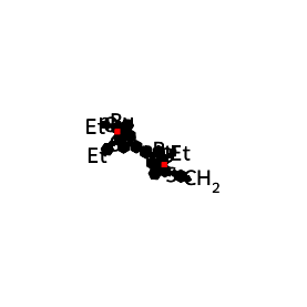 C=Cc1ccc(CSc2ccc(C3(c4ccc(OCC(CC)CCCC)cc4)c4ccccc4-c4ccc(N(c5ccccc5)c5ccc(-c6ccc(N(c7ccccc7)c7ccc8c(c7)C(c7ccc(OCC(CC)CCCC)cc7)(c7ccc(SCc9ccc(CC)cc9)cc7)c7ccccc7-8)cc6)cc5)cc43)cc2)cc1